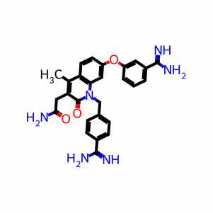 Cc1c(CC(N)=O)c(=O)n(Cc2ccc(C(=N)N)cc2)c2cc(Oc3cccc(C(=N)N)c3)ccc12